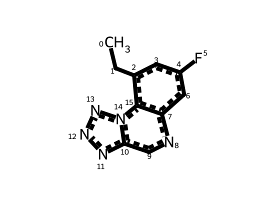 CCc1cc(F)cc2ncc3nnnn3c12